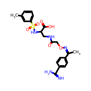 C/C(=N/OCC(=O)NCC(NS(=O)(=O)c1cccc(C)c1)C(=O)O)c1ccc(C(=N)N)cc1